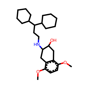 COc1ccc(OC)c2c1CC(O)C(NCCC(C1CCCCC1)C1CCCCC1)C2